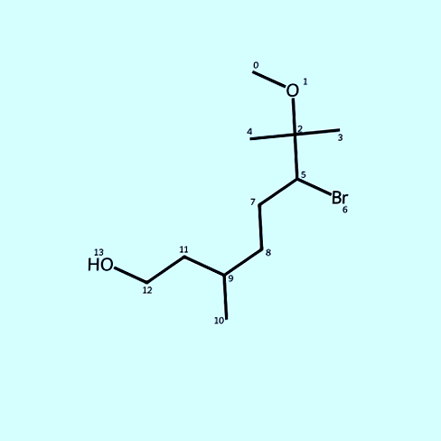 COC(C)(C)C(Br)CCC(C)CCO